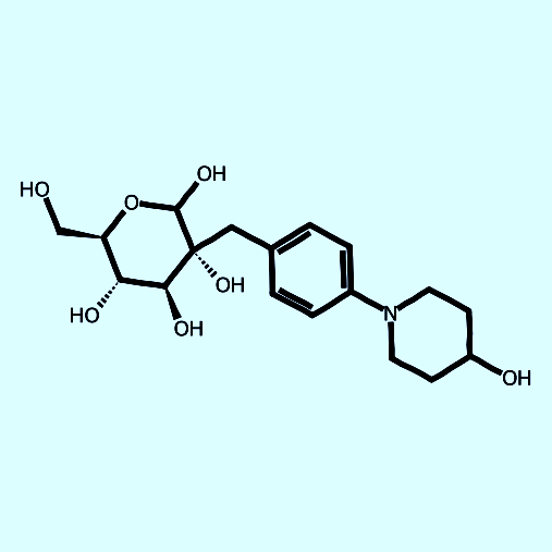 OC[C@H]1OC(O)[C@@](O)(Cc2ccc(N3CCC(O)CC3)cc2)[C@@H](O)[C@@H]1O